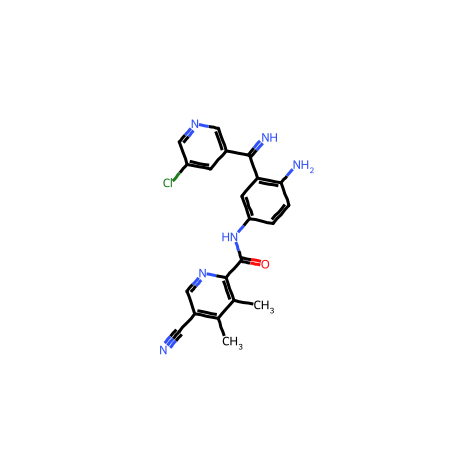 Cc1c(C#N)cnc(C(=O)Nc2ccc(N)c(C(=N)c3cncc(Cl)c3)c2)c1C